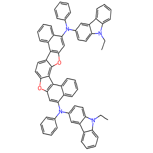 CCn1c2ccccc2c2cc(N(c3ccccc3)c3cc4oc5c(ccc6oc7cc(N(c8ccccc8)c8ccc9c(c8)c8ccccc8n9CC)c8ccccc8c7c65)c4c4ccccc34)ccc21